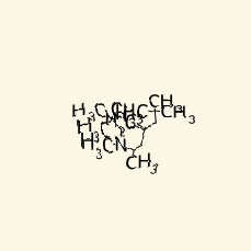 C=C(CC(C)N(C)CC(C)(C)C)CC(C)(C)C